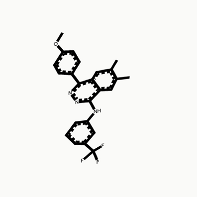 COc1ccc(-c2nnc(Nc3cccc(C(F)(F)F)c3)c3cc(C)c(C)cc23)cc1